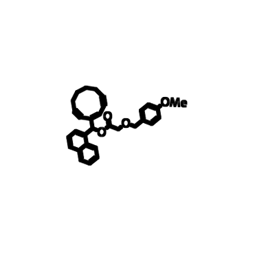 COc1ccc(COCC(=O)OC(/C2=C/C#CCCCCC#C2)c2cccc3ccccc23)cc1